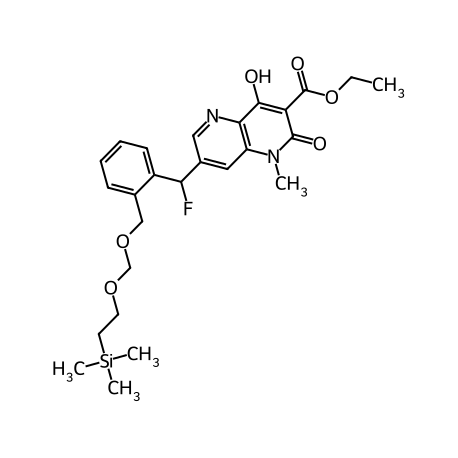 CCOC(=O)c1c(O)c2ncc(C(F)c3ccccc3COCOCC[Si](C)(C)C)cc2n(C)c1=O